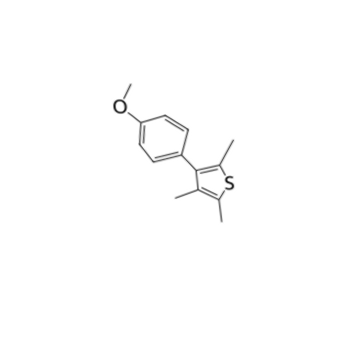 COc1ccc(-c2c(C)sc(C)c2C)cc1